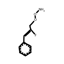 NOOCC(F)=Cc1ccccc1